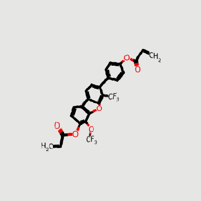 C=CC(=O)Oc1ccc(-c2ccc3c(oc4c(OC(F)(F)F)c(OC(=O)C=C)ccc43)c2C(F)(F)F)cc1